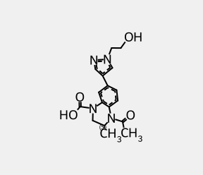 CC(=O)N1c2ccc(-c3cnn(CCO)c3)cc2N(C(=O)O)C[C@@H]1C